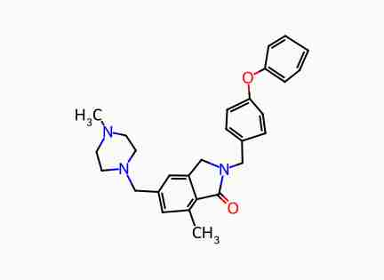 Cc1cc(CN2CCN(C)CC2)cc2c1C(=O)N(Cc1ccc(Oc3ccccc3)cc1)C2